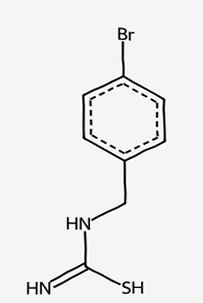 N=C(S)NCc1ccc(Br)cc1